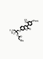 CCCCCc1ccc(-c2cc3ccc(OCC(C)(COC(=O)CC(C)(C)C)CC(F)(F)F)cc3oc2=O)c(OC(F)(F)F)c1